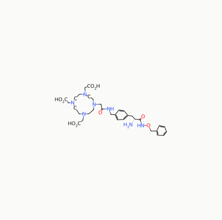 N[C@H](Cc1ccc(CNC(=O)CN2CCN(CC(=O)O)CCN(CC(=O)O)CCN(CC(=O)O)CC2)cc1)C(=O)NOCc1ccccc1